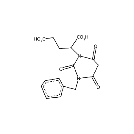 O=C(O)CCC(C(=O)O)N1C(=O)CC(=O)N(Cc2ccccc2)C1=O